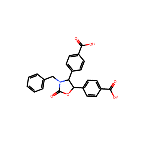 O=C(O)c1ccc(C2OC(=O)N(Cc3ccccc3)C2c2ccc(C(=O)O)cc2)cc1